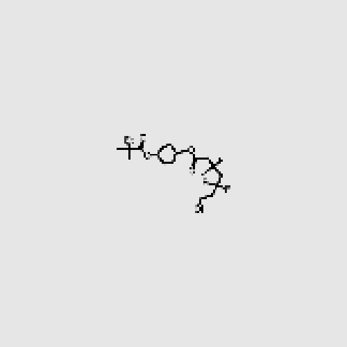 CCC(C)(C)C(=O)OC1CCC(OC(=O)CC(F)(F)CC(F)(F)CCO)CC1